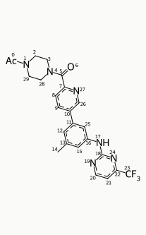 CC(=O)N1CCN(C(=O)c2ccc(-c3cc(C)cc(Nc4nccc(C(F)(F)F)n4)c3)cn2)CC1